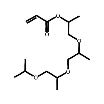 C=CC(=O)OC(C)COC(C)COC(C)COC(C)C